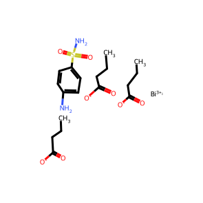 CCCC(=O)[O-].CCCC(=O)[O-].CCCC(=O)[O-].Nc1ccc(S(N)(=O)=O)cc1.[Bi+3]